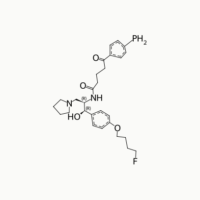 O=C(CCCC(=O)c1ccc(P)cc1)N[C@H](CN1CCCC1)[C@H](O)c1ccc(OCCCCF)cc1